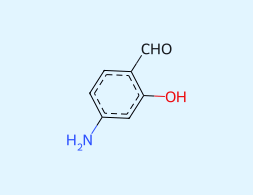 Nc1ccc(C=O)c(O)c1